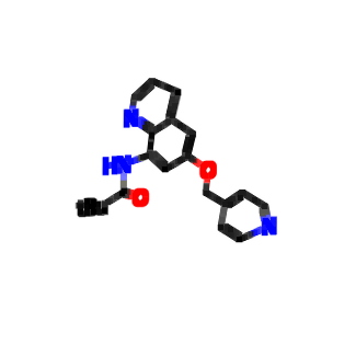 CC(C)(C)C(=O)Nc1cc(OCc2ccncc2)cc2cccnc12